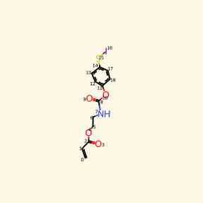 C=CC(=O)OCCNC(=O)Oc1ccc(SI)cc1